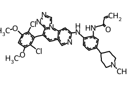 C=CC(=O)Nc1cc(C2CCN(C)CC2)ccc1Nc1cc2c(cn1)cc(-c1c(Cl)c(OC)cc(OC)c1Cl)c1nncn12